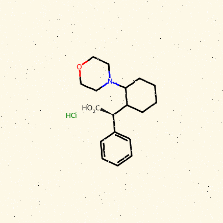 Cl.O=C(O)[C@H](c1ccccc1)C1CCCCC1N1CCOCC1